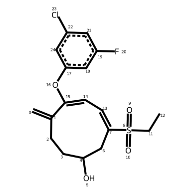 C=C1CCC(O)C/C(S(=O)(=O)CC)=C\C=C/1Oc1cc(F)cc(Cl)c1